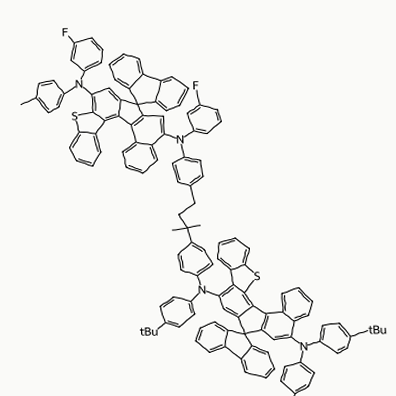 Cc1ccc(N(c2cccc(F)c2)c2cc3c(c4c2sc2ccccc24)-c2c(cc(N(c4ccc(CCC(C)(C)c5ccc(N(c6ccc(C(C)(C)C)cc6)c6cc7c(c8sc9ccccc9c68)-c6c(cc(N(c8ccc(C(C)(C)C)cc8)c8ccc(C(C)(C)C)cc8)c8ccccc68)C76c7ccccc7-c7ccccc76)cc5)cc4)c4cccc(F)c4)c4ccccc24)C32c3ccccc3-c3ccccc32)cc1